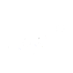 CCc1csc([C@@H](CC(=O)CCc2cccc(Cl)c2)Cc2ccc(NS(=O)(=O)O)cc2)n1